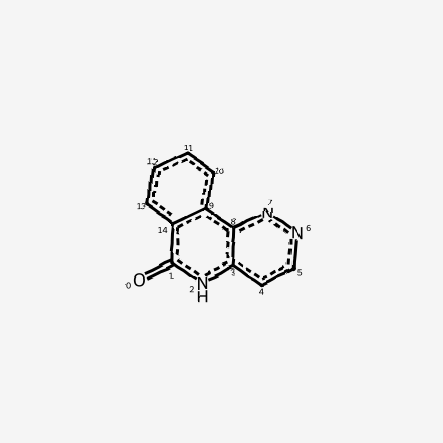 O=c1[nH]c2ccnnc2c2ccccc12